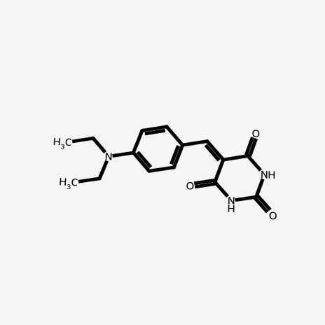 CCN(CC)c1ccc(C=C2C(=O)NC(=O)NC2=O)cc1